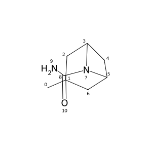 CC1CC2CC(C1)N2C(N)=O